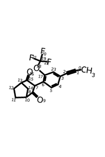 CC#Cc1ccc(C2C(=O)C3CCC(C3)C2=O)c(OC(F)(F)F)c1